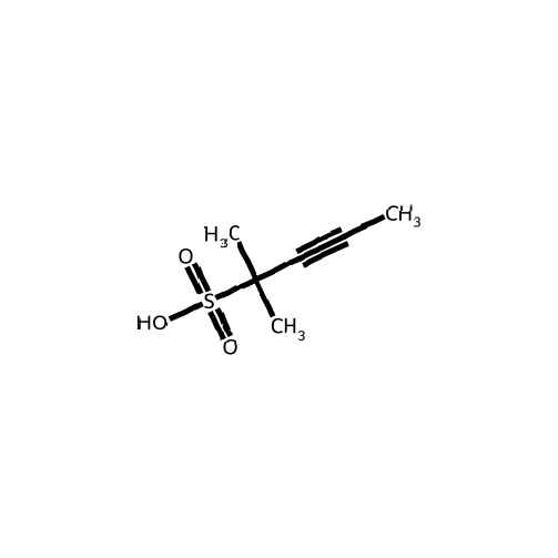 CC#CC(C)(C)S(=O)(=O)O